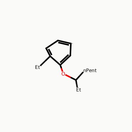 [CH2]Cc1cc[c]cc1OC(CC)CCCCC